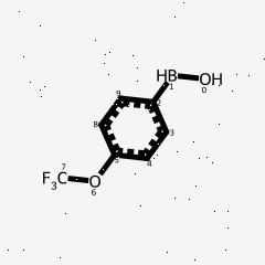 OBc1ccc(OC(F)(F)F)cc1